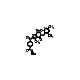 CCN(c1sc2c(c1C)C(=O)N(Cc1c(C)cc(C)nc1OC)CC2)C1CCN(C(=O)OC(C)(C)C)CC1